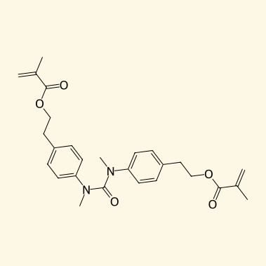 C=C(C)C(=O)OCCc1ccc(N(C)C(=O)N(C)c2ccc(CCOC(=O)C(=C)C)cc2)cc1